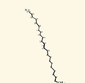 [CH2]CCCCCCCCCC/C=C/CCCCCCCCCCC